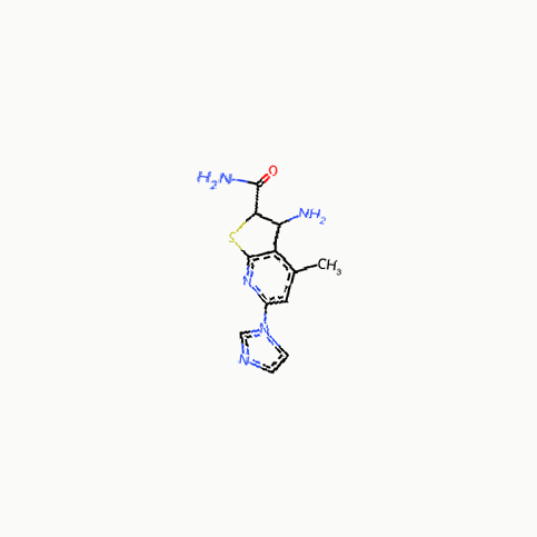 Cc1cc(-n2ccnc2)nc2c1C(N)C(C(N)=O)S2